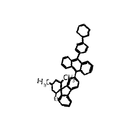 CCC1CC(C)CC(C)C12c1ccccc1-c1ccc(-c3c4ccccc4c(-c4ccc(C5CCCCC5)cc4)c4ccccc34)cc12